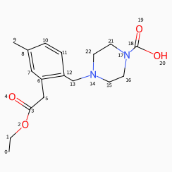 CCOC(=O)Cc1cc(C)ccc1CN1CCN(C(=O)O)CC1